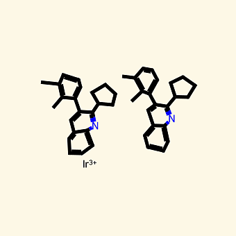 Cc1cccc(-c2cc3ccccc3nc2C2CCCC2)c1C.Cc1cccc(-c2cc3ccccc3nc2C2CCCC2)c1C.[Ir+3]